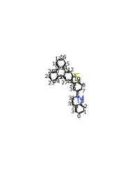 c1ccc2nc(-c3ccc4sc5cc6c7ccccc7c7ccccc7c6cc5c4c3)ccc2c1